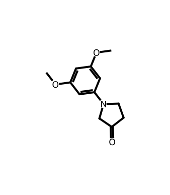 COc1cc(OC)cc(N2CCC(=O)C2)c1